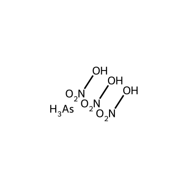 O=[N+]([O-])O.O=[N+]([O-])O.O=[N+]([O-])O.[AsH3]